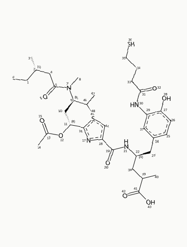 CC[C@H](C)CC(=O)N(C)[C@H](C[C@@H](OC(C)=O)c1nc(C(=O)N[C@@H](Cc2ccc(O)c(NC(=O)CCCS)c2)CC(C)C(=O)O)cs1)C(C)C